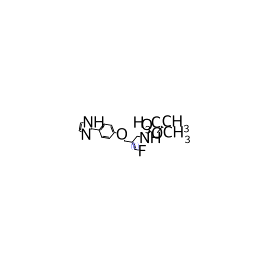 CC(C)(C)OC(=O)NC/C(=C\F)COc1ccc(-c2ncc[nH]2)cc1